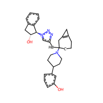 Oc1cccc(C2CCN(C3(Bc4cn([C@@H]5c6ccccc6C[C@H]5O)nn4)CCCC4=C(C4)C3)CC2)c1